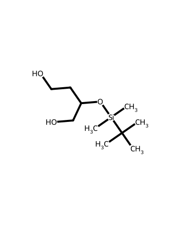 CC(C)(C)[Si](C)(C)OC(CO)CCO